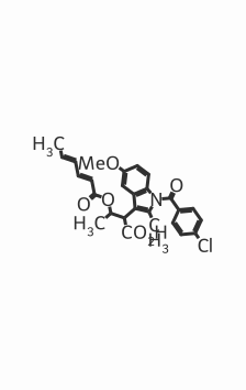 C/C=C/C=C/C(=O)OC(C)C(C(=O)O)c1c(C)n(C(=O)c2ccc(Cl)cc2)c2ccc(OC)cc12